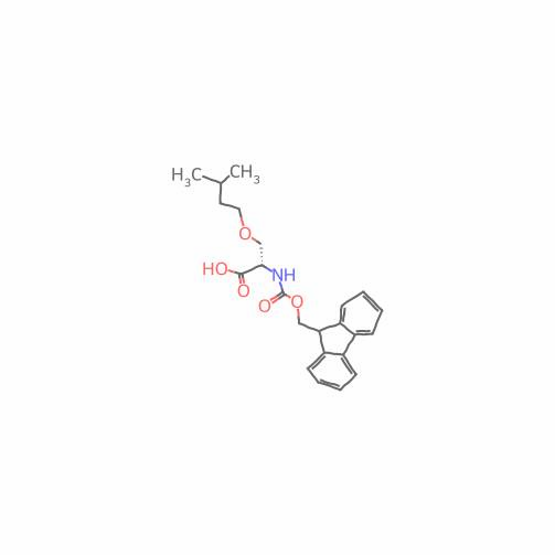 CC(C)CCOC[C@H](NC(=O)OCC1c2ccccc2-c2ccccc21)C(=O)O